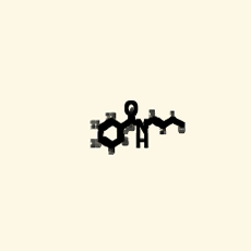 CC/C=C/NC(=O)c1ccccc1